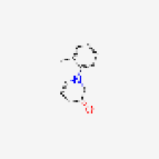 Cc1ccccc1N1C=CCC(=O)C1